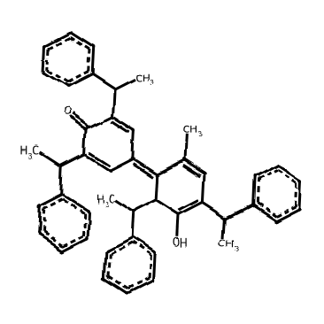 CC1=CC(C(C)c2ccccc2)=C(O)C(C(C)c2ccccc2)C1=C1C=C(C(C)c2ccccc2)C(=O)C(C(C)c2ccccc2)=C1